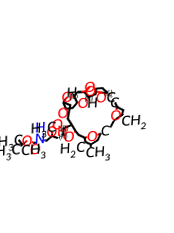 C=C1CC2CC[C@@]34CC5OC6C(O3)[C@H]3OC(CCC3O[C@H]6C5O4)CC(=O)CC3C(CC4OC(CCC1O2)CC(C)C4=C)O[C@H](CC(O)CNC(=O)OC(C)(C)C)[C@@H]3OC